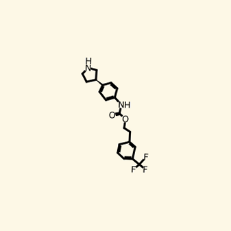 O=C(Nc1ccc([C@H]2CCNC2)cc1)OCCc1cccc(C(F)(F)F)c1